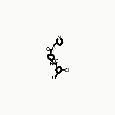 O=C(OCc1cccnc1)c1ccc2nc(-c3cc(Cl)cc(Cl)c3)oc2c1